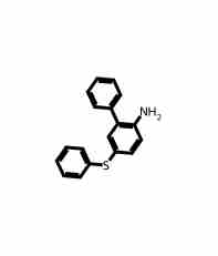 Nc1ccc(Sc2ccccc2)cc1-c1ccccc1